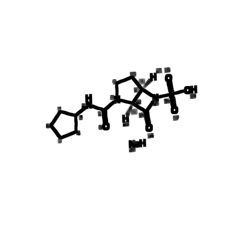 O=C(NC1CCCC1)N1CC[C@@H]2[C@H]1C(=O)N2S(=O)(=O)O.[NaH]